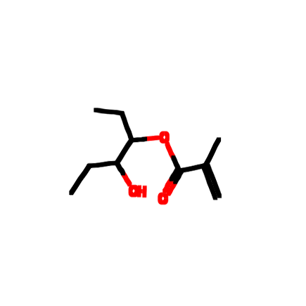 C=C(C)C(=O)OC(CC)C(O)CC